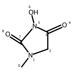 CN1CC(=O)N(O)C1=O